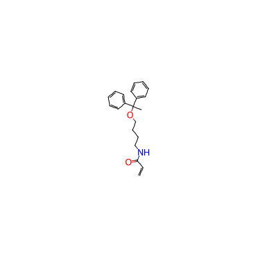 C=CC(=O)NCCCCOC(C)(c1ccccc1)c1ccccc1